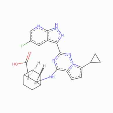 O=C(O)[C@@H]1C2CCC(CC2)[C@H]1Nc1nc(-c2n[nH]c3ncc(F)cc23)nn2c(C3CC3)ccc12